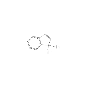 CC(C)C1(C(C)C)C=Cc2ccccc21